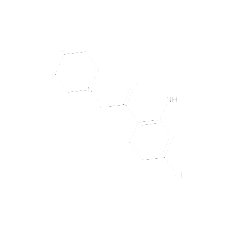 Nc1cc(Cl)ccc1C(=O)ON1CCCCC1